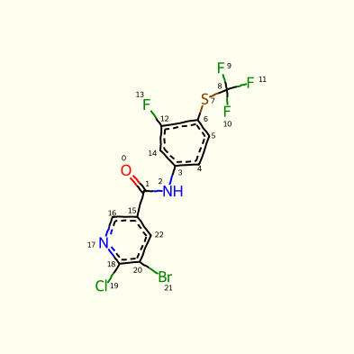 O=C(Nc1ccc(SC(F)(F)F)c(F)c1)c1cnc(Cl)c(Br)c1